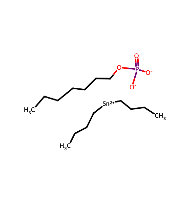 CCCCCCCOP(=O)([O-])[O-].CCC[CH2][Sn+2][CH2]CCC